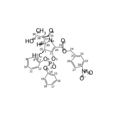 C[C@@H]1C(OP(=O)(Oc2ccccc2)Oc2ccccc2)=C(C(=O)OCc2ccc([N+](=O)[O-])cc2)N2C(=O)[C@H]([C@@H](C)O)[C@@H]12